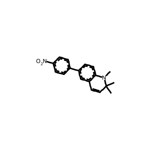 CN1c2ccc(-c3ccc([N+](=O)[O-])cc3)cc2C=CC1(C)C